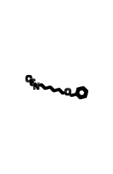 O=C=NCCCCCCOCc1ccccc1